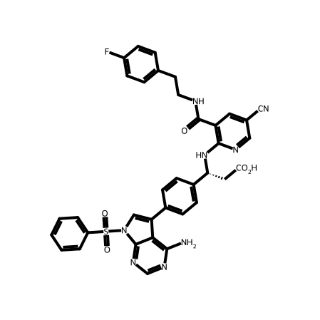 N#Cc1cnc(N[C@H](CC(=O)O)c2ccc(-c3cn(S(=O)(=O)c4ccccc4)c4ncnc(N)c34)cc2)c(C(=O)NCCc2ccc(F)cc2)c1